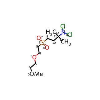 COCCOCCS(=O)(=O)CCC(C)(C)N(Cl)Cl